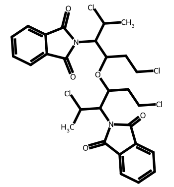 CC(Cl)C(C(CCCl)OC(CCCl)C(C(C)Cl)N1C(=O)c2ccccc2C1=O)N1C(=O)c2ccccc2C1=O